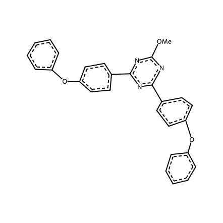 COc1nc(-c2ccc(Oc3ccccc3)cc2)nc(-c2ccc(Oc3ccccc3)cc2)n1